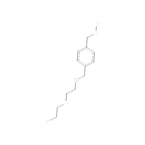 CC(C)CCOCCNCc1ccc(COC(C)C)cc1